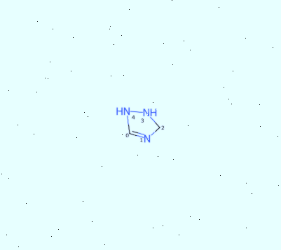 C1=NCNN1